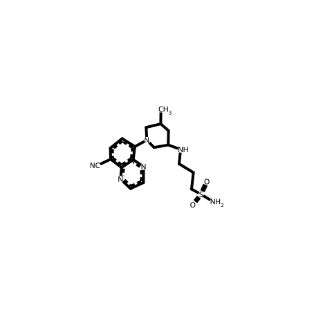 CC1CC(NCCCS(N)(=O)=O)CN(c2ccc(C#N)c3nccnc23)C1